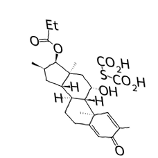 CCC(=O)O[C@@H]1[C@H](C)C[C@H]2[C@@H]3CCC4=CC(=O)C(C)=C[C@]4(C)[C@H]3[C@@H](O)C[C@]12C.O=C(O)SC(=O)O